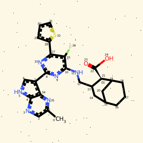 Cc1cnc2[nH]cc(-c3nc(NCC4CC5CCCC(C5)[C@@H]4C(=O)O)c(F)c(-c4cccs4)n3)c2n1